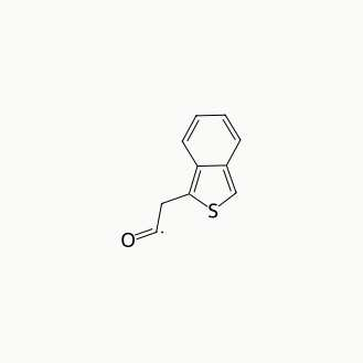 O=[C]Cc1scc2ccccc12